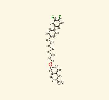 N#Cc1ccc2cc(OCCCCCCCCc3ccc(-c4ccc(F)c(F)c4)cc3)ccc2c1